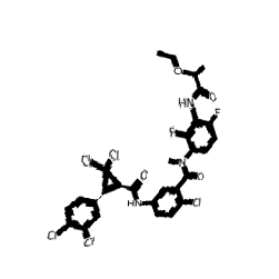 CCOC(C)C(=O)Nc1c(F)ccc(N(C)C(=O)c2cc(NC(=O)[C@H]3[C@H](c4ccc(Cl)c(Cl)c4)C3(Cl)Cl)ccc2Cl)c1F